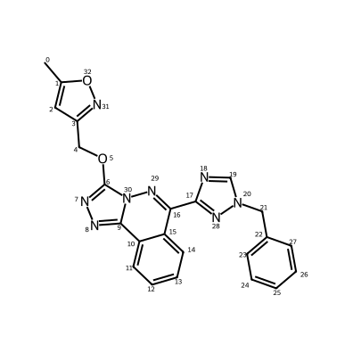 Cc1cc(COc2nnc3c4ccccc4c(-c4ncn(Cc5ccccc5)n4)nn23)no1